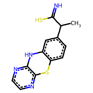 CC(C(=N)S)c1ccc2c(c1)Nc1nccnc1S2